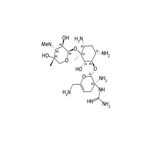 CN[C@@H]1[C@@H](O)[C@@H](O[C@@]2(C)[C@H](N)C[C@H](N)[C@@H](O[C@H]3OC(CN)=CC[C@]3(N)NC(=N)N)[C@@H]2O)OC[C@]1(C)O